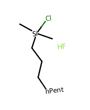 CCCCCCCC[Si](C)(C)Cl.F